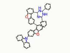 c1ccc(C2=NC(c3cccc4oc5ccc(-c6cccc7oc8cc(-n9c%10ccccc%10c%10ccccc%109)ccc8c67)cc5c34)NC(c3ccccc3)N2)cc1